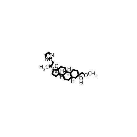 C=C(Cn1nccn1)[C@H]1CC[C@H]2[C@@H]3CC[C@H]4C[C@](O)(COC)CC[C@@H]4[C@H]3CC[C@]12C